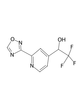 OC(c1ccnc(-c2ncon2)c1)C(F)(F)F